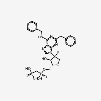 O=P(O)(O)CP(=O)(O)OC[C@H]1OC[C@@](F)(n2cnc3c(NCc4ccccc4)nc(Cc4ccccc4)nc32)[C@@H]1O